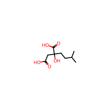 CC(C)CCC(O)(CC(=O)O)C(=O)O